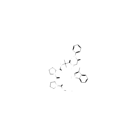 CC(C)(C)OC(=O)N1CCC[C@H]1C(=O)N1CCC[C@H]1C(=O)NC(C)(C)C(=O)N[C@@H](Cc1c[nH]c2ccccc12)C(=O)Nc1ccccc1